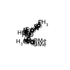 COc1ccc([C@@]23CC[C@@H](NC(=O)Nc4ccc(-c5nc6ccc(C)cc6s5)cc4)C[C@@H]2N(C)CC3)cc1OC.O=C(O)C(F)(F)F